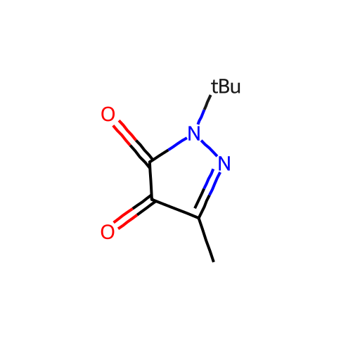 CC1=NN(C(C)(C)C)C(=O)C1=O